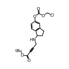 CC(C)(C)OC(=O)C#CCNC1CCc2cc(OC(=O)OCCl)ccc21